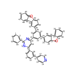 c1ccc(-c2nc(-c3cccc(-c4ccncc4)c3)cc(-c3cc(-c4ccc5oc6ccccc6c5c4)cc(-c4ccc5oc6ccccc6c5c4)c3)n2)cc1